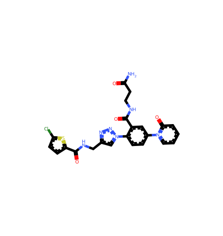 NC(=O)CCNC(=O)c1cc(-n2ccccc2=O)ccc1-n1cc(CNC(=O)c2ccc(Cl)s2)nn1